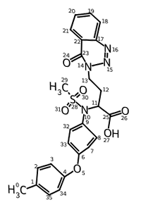 Cc1ccc(Oc2ccc(N(C(CCn3nnc4ccccc4c3=O)C(=O)O)S(C)(=O)=O)cc2)cc1